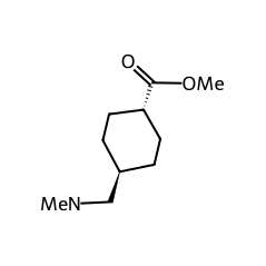 CNC[C@H]1CC[C@H](C(=O)OC)CC1